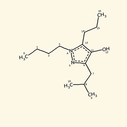 CCCCn1nc(CC(C)C)c(O)c1CCC